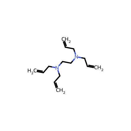 C=CCN(CC=C)CCN(CC=C)CC=C